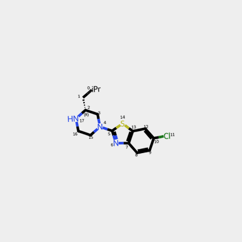 CC(C)C[C@@H]1CN(c2nc3ccc(Cl)cc3s2)CCN1